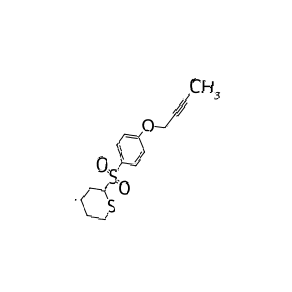 CC#CCOc1ccc(S(=O)(=O)C2C[CH]CCS2)cc1